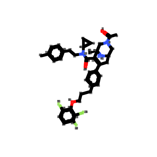 CC(=O)N1CC2CC(c3ccc(CCCOc4c(F)ccc(F)c4F)cc3)=C(C(=O)N(CCc3ccc(C)cc3)C3CC3)[C@@H](C1)N2